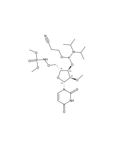 CO[C@@H]1[C@H](OP(OCCC#N)N(C(C)C)C(C)C)[C@@H](CONP(=O)(OC)OC)O[C@H]1n1ccc(=O)[nH]c1=O